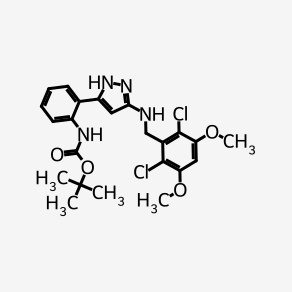 COc1cc(OC)c(Cl)c(CNc2cc(-c3ccccc3NC(=O)OC(C)(C)C)[nH]n2)c1Cl